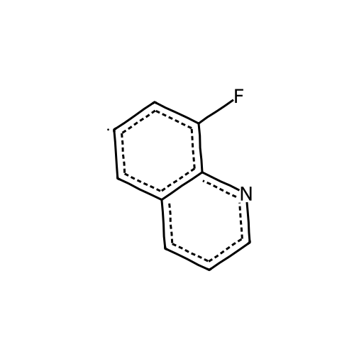 Fc1c[c]cc2cccnc12